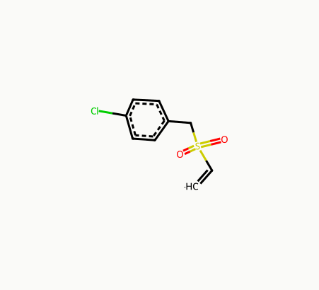 [CH]=CS(=O)(=O)Cc1ccc(Cl)cc1